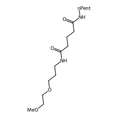 CCCCCNC(=O)CCCC(=O)NCCCOCCOC